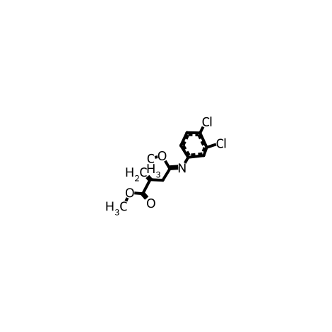 C=C(CC(=Nc1ccc(Cl)c(Cl)c1)OC)C(=O)OC